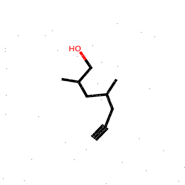 C#CCC(C)CC(C)CO